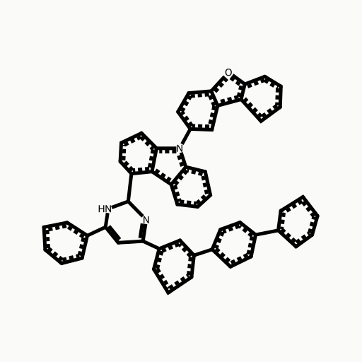 C1=C(c2ccccc2)NC(c2cccc3c2c2ccccc2n3-c2ccc3oc4ccccc4c3c2)N=C1c1cccc(-c2ccc(-c3ccccc3)cc2)c1